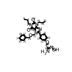 CCCn1c(=O)c2c(nc(-c3ccc(OCC(N)=NO)cc3)n2COCc2ccccc2)n(CCC)c1=O